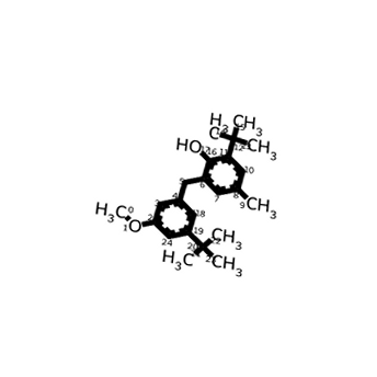 COc1cc(Cc2cc(C)cc(C(C)(C)C)c2O)[c]c(C(C)(C)C)c1